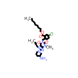 CC#CCn1c(N2CCC[C@@H](N)C2)nc2c1c(=O)n(Cc1ccc(Cl)cc1C(=O)OCCCCCCCCC)c(=O)n2C